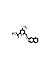 Cc1cc(COc2ccc3ccccc3c2)nc(C(=O)O)c1